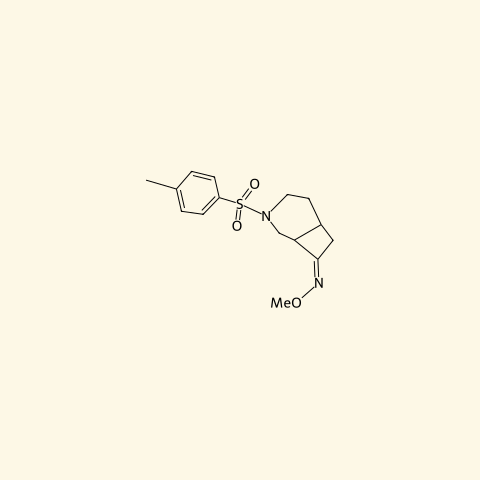 CON=C1CC2CCN(S(=O)(=O)c3ccc(C)cc3)CC12